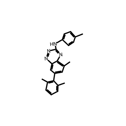 Cc1ccc(Nc2nnc3cc(-c4c(C)cccc4C)cc(C)c3n2)cc1